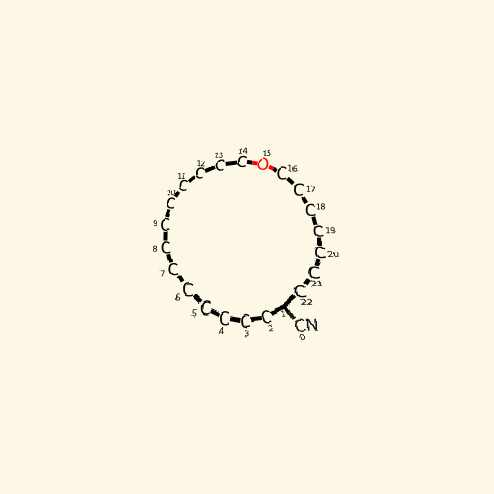 N#CC1CCCCCCCCCCCCCOCCCCCCC1